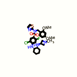 COc1ccc(CN(c2nccs2)S(=O)(=O)c2cc(Cl)c(N[C@H]3CCCC[C@@H]3NC3CN(C)C3)cc2F)c(OC)c1